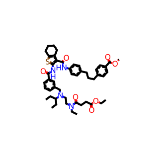 CCOC(=O)CCC(=O)N(CC)CCN(Cc1cccc(C(=O)Nc2sc3c(c2C(=O)Nc2ccc(CCCc4ccc(C(=O)OC)cc4)cc2)CCCC3)c1)C(CC)CC